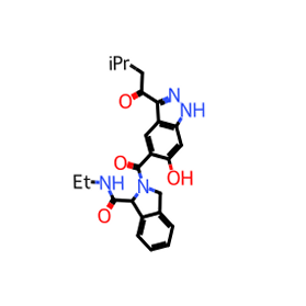 CCNC(=O)C1c2ccccc2CN1C(=O)c1cc2c(C(=O)CC(C)C)n[nH]c2cc1O